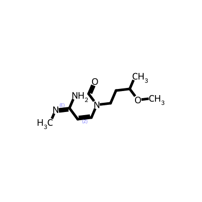 C/N=C(N)\C=C/N(C=O)CCC(C)OC